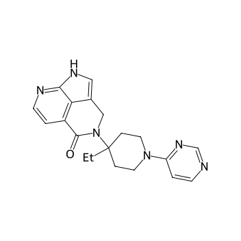 CCC1(N2Cc3c[nH]c4nccc(c34)C2=O)CCN(c2ccncn2)CC1